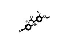 CCOc1ccc(C(Nc2ccc(C#N)cc2)C(=O)O)cc1SC